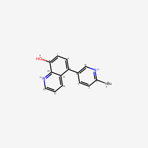 CCCCc1ccc(-c2ccc(O)c3ncccc23)cn1